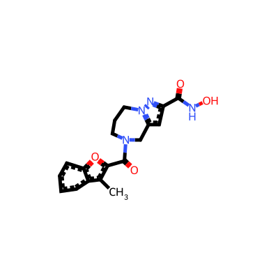 Cc1c(C(=O)N2CCCn3nc(C(=O)NO)cc3C2)oc2ccccc12